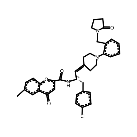 Cc1ccc2oc(C(=O)N[C@H](C=C3CCN(c4ccccc4CN4CCCC4=O)CC3)Cc3ccc(Cl)cc3)cc(=O)c2c1